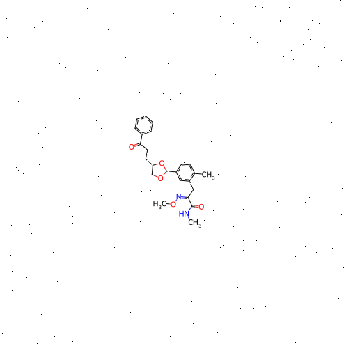 CNC(=O)C(Cc1cc(C2OCC(CCC(=O)c3ccccc3)O2)ccc1C)=NOC